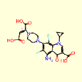 Nc1c(F)c(N2CCN(/C(=C\C(=O)O)C(=O)O)CC2)c(F)c2c1c(=O)c(C(=O)O)cn2C1CC1